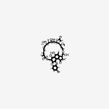 CO[C@H]1/C=C/O[C@@H](O)C2c3c(C)c(O)c4c(=O)c(c5oc6ccc(Br)cc6nc-5c4c3C(=O)[C@@H]2C)NC(=O)/C(C)=C\C=C\[C@H](C)[C@H](O)[C@@H](C)[C@@H](O)[C@@H](C)[C@H](OC(C)=O)[C@@H]1C